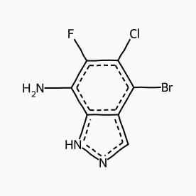 Nc1c(F)c(Cl)c(Br)c2cn[nH]c12